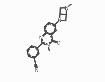 CN1CC2C1CN2c1ccc2nc(-c3cccc(C#N)c3)n(C)c(=O)c2c1